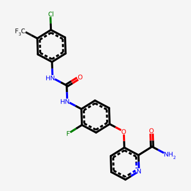 NC(=O)c1ncccc1Oc1ccc(NC(=O)Nc2ccc(Cl)c(C(F)(F)F)c2)c(F)c1